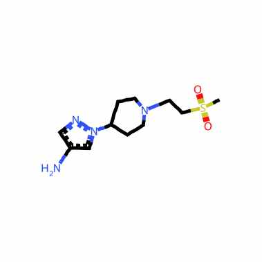 CS(=O)(=O)CCN1CCC(n2cc(N)cn2)CC1